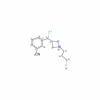 N#Cc1cccc(C(F)C2CN(CCCF)C2)c1